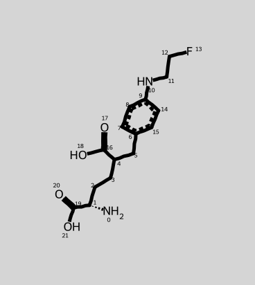 N[C@@H](CCC(Cc1ccc(NCCF)cc1)C(=O)O)C(=O)O